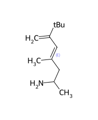 C=C(/C=C(\C)CC(C)N)C(C)(C)C